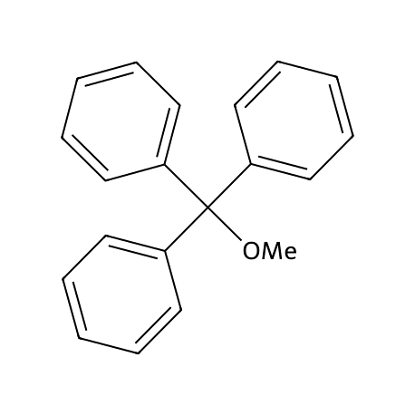 [CH]OC(c1ccccc1)(c1ccccc1)c1ccccc1